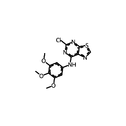 COc1cc(Nc2nc(Cl)nc3scnc23)cc(OC)c1OC